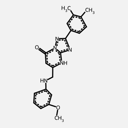 COc1cccc(NCc2cc(=O)n3nc(-c4ccc(C)c(C)c4)nc3[nH]2)c1